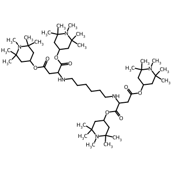 CN1C(C)(C)CC(OC(=O)CC(NCCCCCCNC(CC(=O)OC2CC(C)(C)N(C)C(C)(C)C2)C(=O)OC2CC(C)(C)N(C)C(C)(C)C2)C(=O)OC2CC(C)(C)N(C)C(C)(C)C2)CC1(C)C